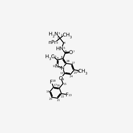 CCCC(C)(N)CNC(=O)c1c(C)nn2c(OCc3c(F)cccc3F)cc(C)cc12